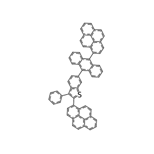 c1ccc(-c2c(-c3ccc4ccc5cccc6ccc3c4c56)sc3cc(-c4c5ccccc5c(-c5ccc6ccc7cccc8ccc5c6c78)c5ccccc45)ccc23)cc1